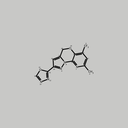 Cc1cc(C(F)(F)F)c2c(n1)-n1nc(-c3nnco3)cc1CO2